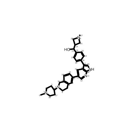 CN1CCC(N2CCc3cc(-c4cnc5[nH]cc(-c6ccc(C(O)C7CN(C)C7)cc6)c5c4)ccc3C2)CC1